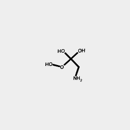 NCC(O)(O)OO